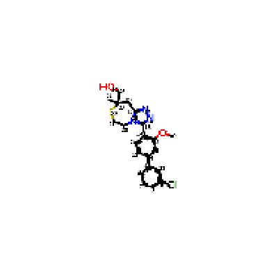 COc1cc(-c2cccc(Cl)c2)ccc1-c1nnc2n1CCSC(C)(CO)C2